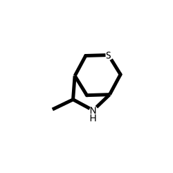 CC1NC2CSCC1C2